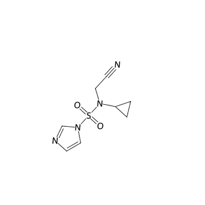 N#CCN(C1CC1)S(=O)(=O)n1ccnc1